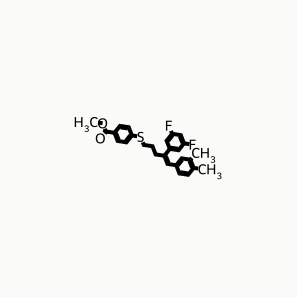 COC(=O)c1ccc(SCCC/C(=C/c2ccc(C)c(C)c2)c2cc(F)cc(F)c2)cc1